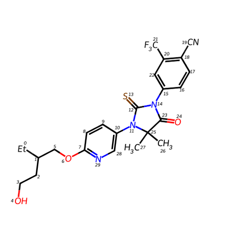 CCC(CCO)COc1ccc(N2C(=S)N(c3ccc(C#N)c(C(F)(F)F)c3)C(=O)C2(C)C)cn1